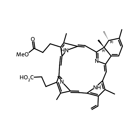 C=Cc1c(C)c2cc3nc(cc4[nH]c(cc5nc(cc1[nH]2)C(C)=C5CCC(=O)O)c(CCC(=O)OC)c4C)[C@@]1(C)C3=CC=C(C)[C@H]1C